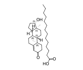 CCCCCCCCCCCCCC(=O)O.C[C@]12CC[C@H]3[C@@H](CCC4=CC(=O)CC[C@@]43C)[C@@H]1CC[C@@H]2O